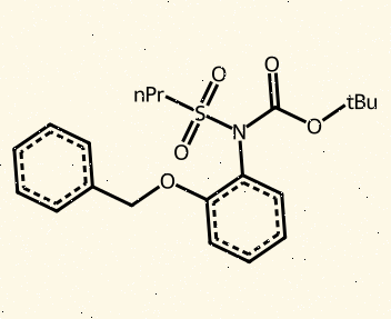 CCCS(=O)(=O)N(C(=O)OC(C)(C)C)c1ccccc1OCc1ccccc1